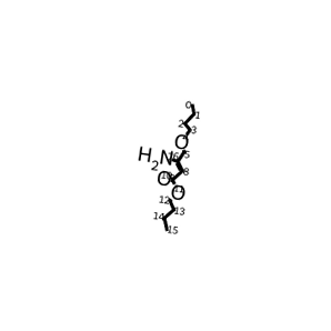 CCCCOCC(N)=CC(=O)OCCCC